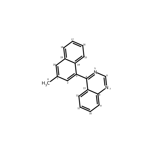 Cc1cc(-c2ncnc3ccccc23)c2ccccc2c1